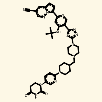 CC(C)(C)Nc1cc(-c2ccc3cc(C#N)cnn23)ncc1-c1nnc(N2CCN(CC3CCN(c4ccc([C@@H]5CCC(=O)NC5=O)cn4)CC3)CC2)s1